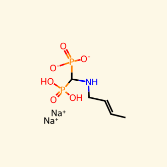 CC=CCNC(P(=O)([O-])[O-])P(=O)(O)O.[Na+].[Na+]